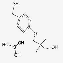 CC(C)(CO)COc1ccc(CS)cc1.OB(O)O